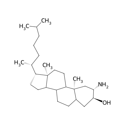 CC(C)CCC[C@@H](C)[C@H]1CCC2C3CCC4C[C@H](O)[C@@H](N)C[C@]4(C)C3CC[C@@]21C